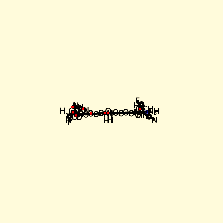 Cc1c(/C(=C/C=N)Nc2ccc(C#N)cc2)cc(C(=O)NCCOCCOCCOCCOCCNC(=O)NCCOCCOCCOCCOCCNC(=O)c2cc(-c3ccnn3-c3ccc(C#N)cc3)c(C)n(-c3cccc(C(F)(F)F)c3)c2=O)c(=O)n1-c1cccc(CF)c1